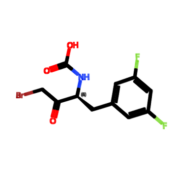 O=C(O)N[C@@H](Cc1cc(F)cc(F)c1)C(=O)CBr